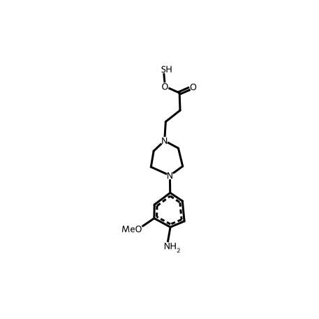 COc1cc(N2CCN(CCC(=O)OS)CC2)ccc1N